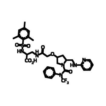 Cc1cc(C)c(S(=O)(=O)NC(CNC(=O)COC2CC(CNc3ccccn3)N(C(=O)N(c3ccccc3)C(F)(F)F)C2)C(=O)O)c(C)c1